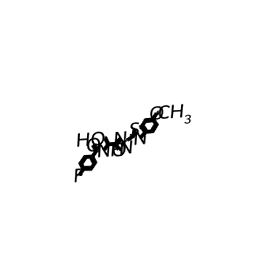 COc1ccc2nc(-c3noc(C(CO)NC(=O)c4ccc(F)cc4)n3)sc2c1